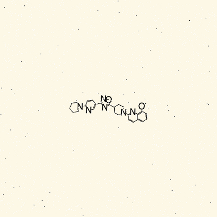 COc1cccc2ccc(N3CCC(c4nc(-c5ccc(N6CCCCC6)nc5)no4)CC3)nc12